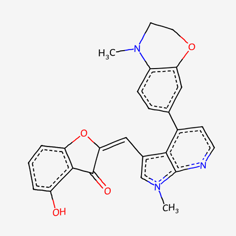 CN1CCOc2cc(-c3ccnc4c3c(C=C3Oc5cccc(O)c5C3=O)cn4C)ccc21